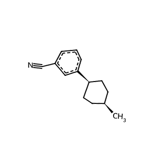 C[C@H]1CC[C@@H](c2cccc(C#N)c2)CC1